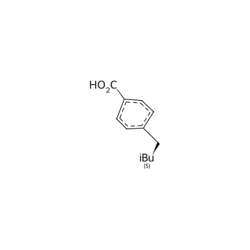 CC[C@H](C)Cc1ccc(C(=O)O)cc1